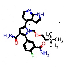 C[Si](C)(C)CCOCn1c(-c2ccnc3[nH]ccc23)cc(C(N)=O)c1-c1ccc(F)c(C(N)=O)c1